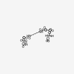 COc1cc(-c2cn(C)c(=O)c3cc(C(=N)NC4CCS(=O)(=O)CC4)sc23)ccc1OCC(=O)NCCCCCCCCNC(=O)COc1cccc2c1C(=O)N(C1CCC(=O)NC1=O)C2=O